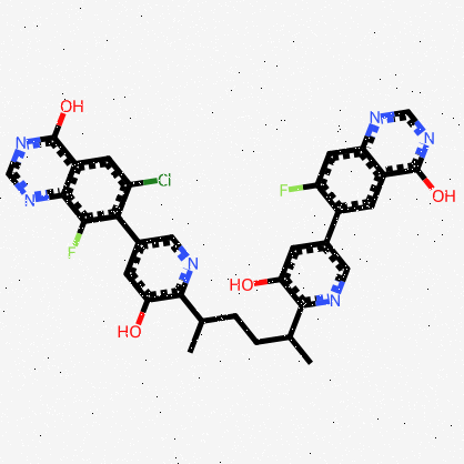 CC(CCC(C)c1ncc(-c2c(Cl)cc3c(O)ncnc3c2F)cc1O)c1ncc(-c2cc3c(O)ncnc3cc2F)cc1O